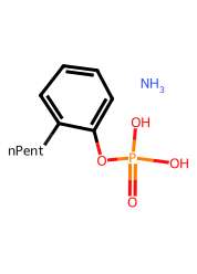 CCCCCc1ccccc1OP(=O)(O)O.N